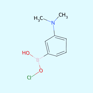 CN(C)c1cccc(B(O)OCl)c1